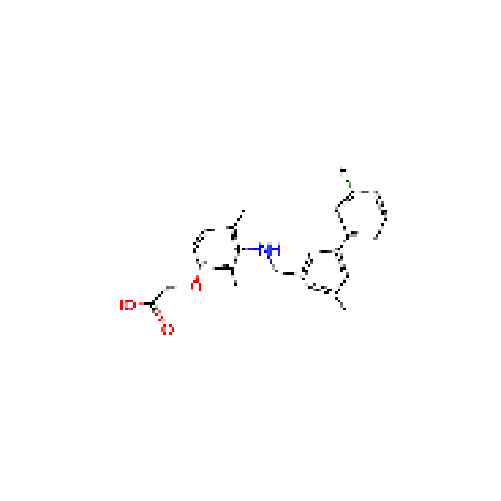 Cc1cc(CNc2c(C)ccc(OCC(=O)O)c2C)cc(-c2cccc(F)c2)c1